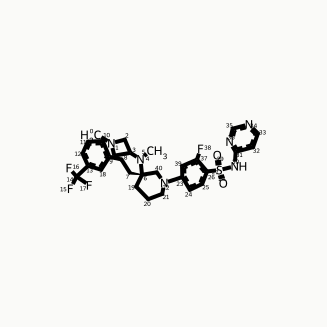 CN1CC(N(C)[C@@]2(CCc3cccc(C(F)(F)F)c3)CCCN(c3ccc(S(=O)(=O)Nc4ccncn4)c(F)c3)C2)C1